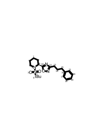 CC(C)(C)S(=O)(=O)N1CCCC[C@H]1c1nc(CCCc2ccccc2)no1